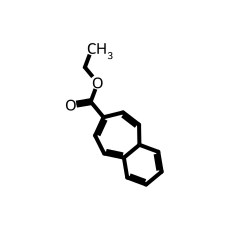 CCOC(=O)C1=CC=C2C=CC=CC2C=C1